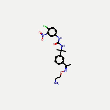 C/C(=N/OCCN)c1cccc(C(C)(C)NC(=O)Nc2ccc(Cl)c([N+](=O)[O-])c2)c1